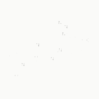 COc1cccc(C2CN=C(c3ncn4c3Cc3cnnn3-c3cc(Cl)ccc3-4)O2)n1